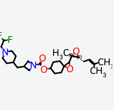 CC(C)=CC[C@H]1O[C@@]1(C)C1OC12CCC(OC(=O)N1CC(CC3CCN(CC(F)F)CC3)C1)CC2